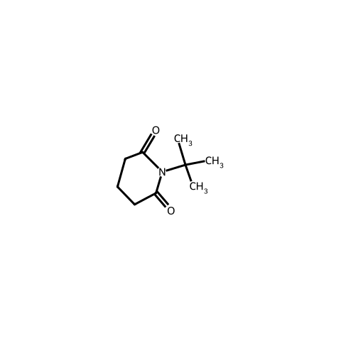 CC(C)(C)N1C(=O)CCCC1=O